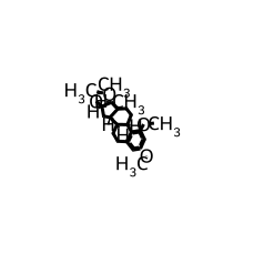 COc1cc2c(c(OC)c1)[C@H]1CC[C@@]3(C)[C@@H](C[C@@H]4OC(C)(C)O[C@@H]43)[C@H]1CC2